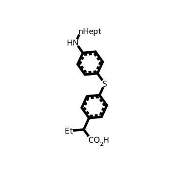 CCCCCCCNc1ccc(Sc2ccc(C(CC)C(=O)O)cc2)cc1